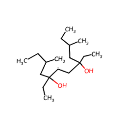 CCC(C)CC(O)([CH]CC(O)(CC)CC(C)CC)CC